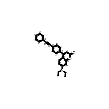 CCN(CC)c1ccc2c(-c3ccc(C#Cc4ccccc4)cc3)cc(=O)oc2c1